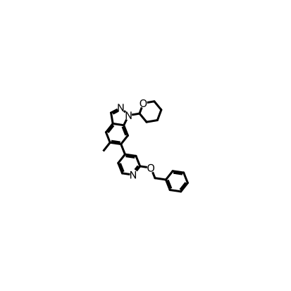 Cc1cc2cnn(C3CCCCO3)c2cc1-c1ccnc(OCc2ccccc2)c1